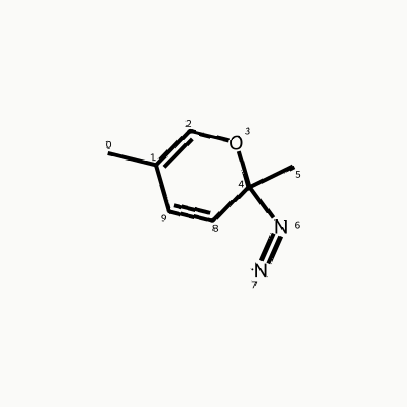 CC1=COC(C)(N=[N])C=C1